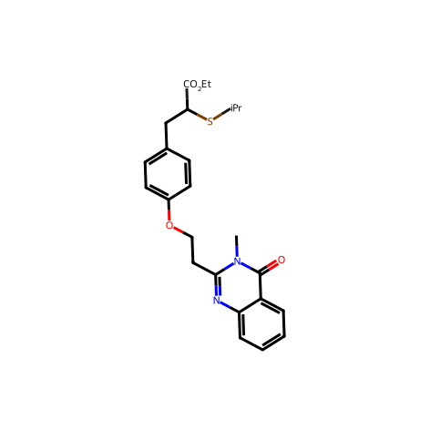 CCOC(=O)C(Cc1ccc(OCCc2nc3ccccc3c(=O)n2C)cc1)SC(C)C